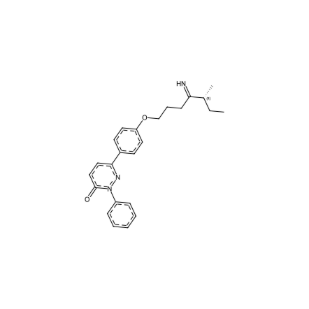 CC[C@@H](C)C(=N)CCCOc1ccc(-c2ccc(=O)n(-c3ccccc3)n2)cc1